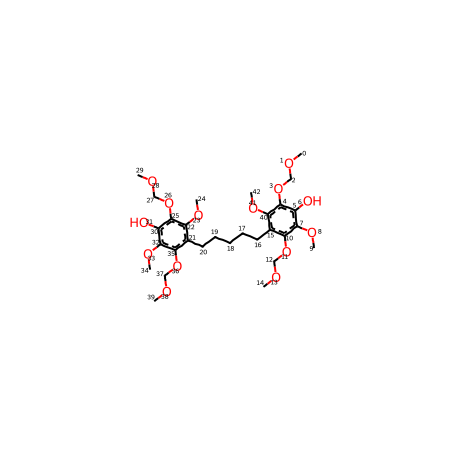 COCOc1c(O)c(OC)c(OCOC)c(CCCCCc2c(OC)c(OCOC)c(O)c(OC)c2OCOC)c1OC